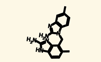 Cc1ccc2c(c1)nc(N)n2Cc1c(C)ccc2[nH]c(N)nc12